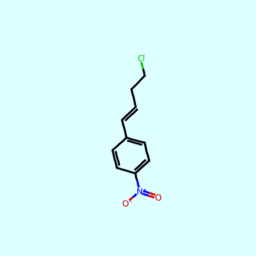 O=[N+]([O-])c1ccc(C=CCCCl)cc1